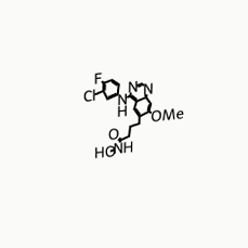 COc1cc2ncnc(Nc3ccc(F)c(Cl)c3)c2cc1CCCC(=O)NO